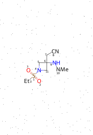 CCS(=O)(=O)N1CC(CC#N)(NNC)C1